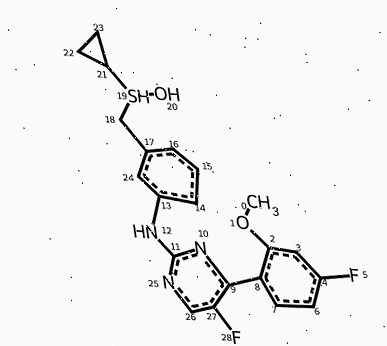 COc1cc(F)ccc1-c1nc(Nc2cccc(C[SH](O)C3CC3)c2)ncc1F